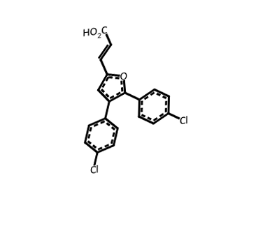 O=C(O)/C=C/c1cc(-c2ccc(Cl)cc2)c(-c2ccc(Cl)cc2)o1